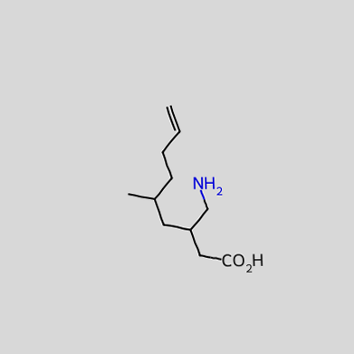 C=CCCC(C)CC(CN)CC(=O)O